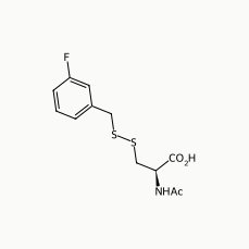 CC(=O)N[C@@H](CSSCc1cccc(F)c1)C(=O)O